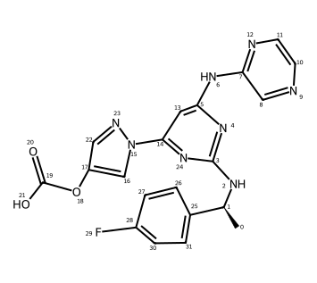 C[C@H](Nc1nc(Nc2cnccn2)cc(-n2cc(OC(=O)O)cn2)n1)c1ccc(F)cc1